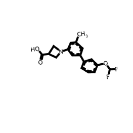 Cc1cc(-c2cccc(OC(F)F)c2)cc(N2CC(C(=O)O)C2)c1